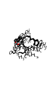 COc1cc2cc(c1Cl)N(C)C(=O)C[C@H](OC(=O)[C@H](C)N(C)C(=O)CCS[C@H]1CC(=O)N(C[C@H]3CC[C@H](C(=O)ON4C(=O)CCC4=O)CC3)C1=O)[C@]1(C)O[C@H]1[C@H](C)[C@@H]1C[C@@](O)(NC(=O)O1)[C@H](OC)/C=C/C=C(\C)C2